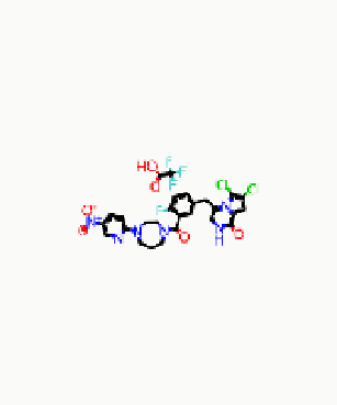 O=C(O)C(F)(F)F.O=C(c1cc(Cc2c[nH]c(=O)c3cc(Cl)c(Cl)n23)ccc1F)N1CCCN(c2ccc([N+](=O)[O-])cn2)CC1